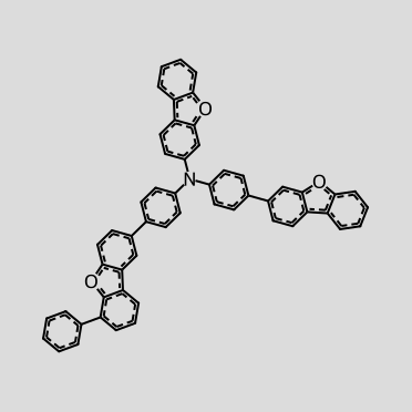 c1ccc(-c2cccc3c2oc2ccc(-c4ccc(N(c5ccc(-c6ccc7c(c6)oc6ccccc67)cc5)c5ccc6c(c5)oc5ccccc56)cc4)cc23)cc1